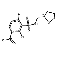 O=[N+]([O-])c1ccc(Cl)c(S(=O)(=O)NC[C@@H]2CCCO2)c1Cl